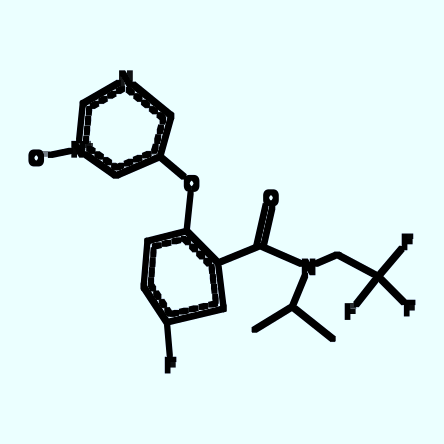 CC(C)N(CC(F)(F)F)C(=O)c1cc(F)ccc1Oc1cnc[n+]([O-])c1